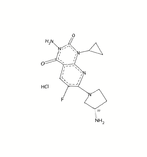 Cl.N[C@H]1CCN(c2nc3c(cc2F)c(=O)n(N)c(=O)n3C2CC2)C1